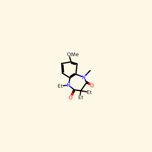 CCN1C(=O)C(CC)(CC)C(=O)N(C)c2cc(OC)ccc21